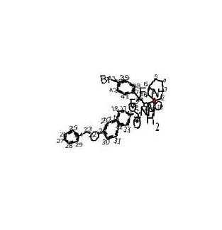 NC1CC2CCC(C1)N2C(=O)[C@@H](NS(=O)(=O)c1ccc2cc(OCc3ccccc3)ccc2c1)C(F)(F)c1ccc(Br)cc1